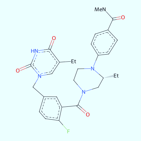 CCc1cn(Cc2ccc(F)c(C(=O)N3CCN(c4ccc(C(=O)NC)cc4)[C@H](CC)C3)c2)c(=O)[nH]c1=O